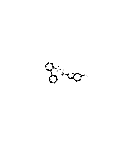 CNc1ccc2cc(C(=O)NS(=O)(=O)c3ccccc3-c3ccccc3)oc2c1